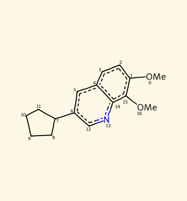 COc1ccc2cc(C3CCCC3)cnc2c1OC